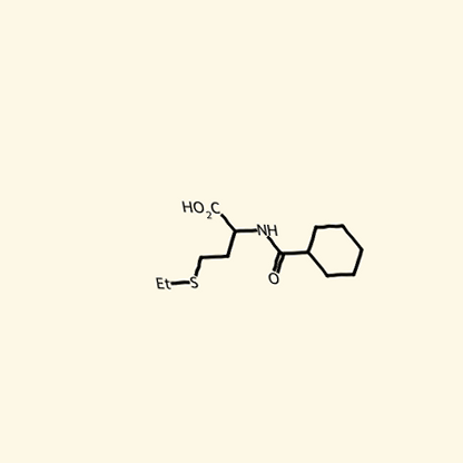 CCSCCC(NC(=O)C1CCCCC1)C(=O)O